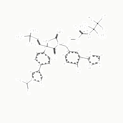 CC(C)(C)/C=C/[C@]1(c2ccc(-c3cnn(C(F)F)c3)cc2)NC(=N)N([C@H](COC(=O)NC(C)(C)C(F)(F)F)c2ccc(Cl)c(-c3ncn[nH]3)c2)C1=O